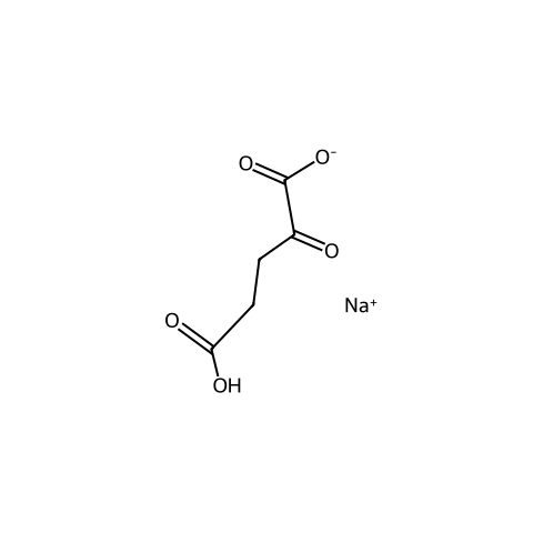 O=C(O)CCC(=O)C(=O)[O-].[Na+]